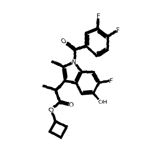 Cc1c(C(C)C(=O)OC2CCC2)c2cc(O)c(F)cc2n1C(=O)c1ccc(F)c(F)c1